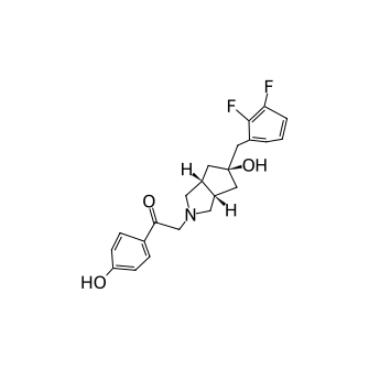 O=C(CN1C[C@@H]2C[C@](O)(Cc3cccc(F)c3F)C[C@@H]2C1)c1ccc(O)cc1